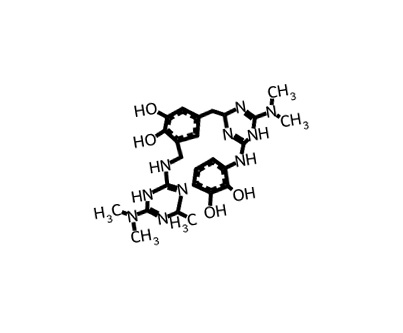 CC1N=C(NCc2cc(CC3N=C(Nc4cccc(O)c4O)NC(N(C)C)=N3)cc(O)c2O)NC(N(C)C)=N1